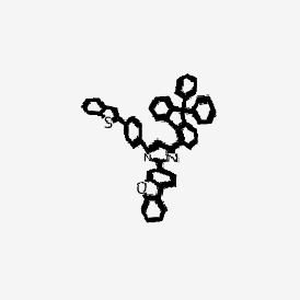 c1ccc(C2(c3ccccc3)c3ccccc3-c3c(-c4cc(-c5ccc(-c6cc7ccccc7s6)cc5)nc(-c5ccc6c(c5)oc5ccccc56)n4)cccc32)cc1